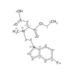 CCOC(=O)/C(=C/C(=O)O)N(C)CCn1ccc2cc(F)ccc21